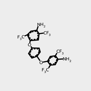 Nc1cc(C(F)(F)F)c(Oc2ccc(Oc3cc(C(F)(F)F)c(N)cc3C(F)(F)F)cc2)cc1C(F)(F)F